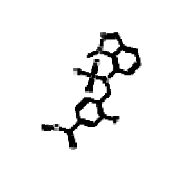 CCS(=O)(=O)N(Cc1ccc(C(=O)OC)cc1F)c1cccc2cnn(C)c12